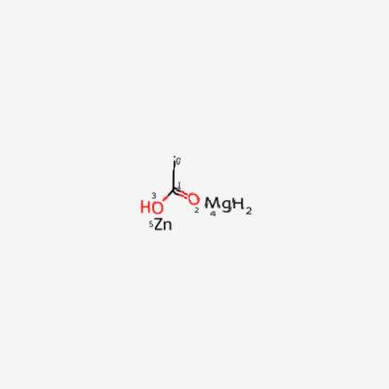 [CH2]C(=O)O.[MgH2].[Zn]